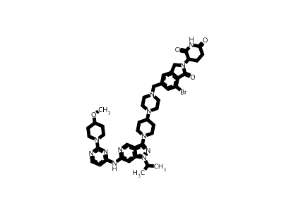 COC1CCN(c2nccc(Nc3cc4c(cn3)c(N3CCC(N5CCN(Cc6cc(Br)c7c(c6)CN(C6CCC(=O)NC6=O)C7=O)CC5)CC3)nn4C(C)C)n2)CC1